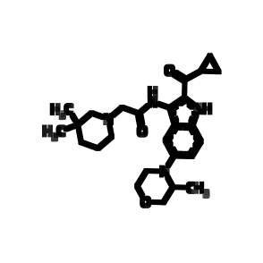 CC1COCCN1c1ccc2[nH]c(C(=O)C3CC3)c(NC(=O)CN3CCCC(C)(C)C3)c2c1